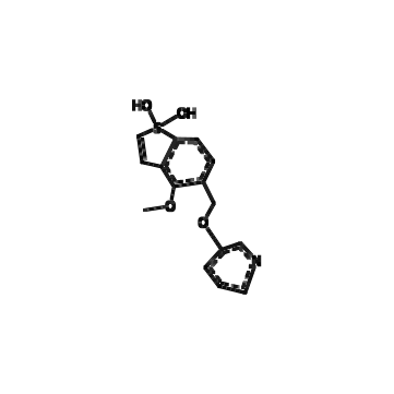 COc1c(COc2cccnc2)ccc2c1C=CS2(O)O